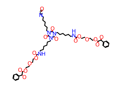 O=C=NCCCCCCn1c(=O)n(CCCCCCNC(=O)OCCOCCOC(=O)C(=O)c2ccccc2)c(=O)n(CCCCCCNC(=O)OCCOCCOC(=O)C(=O)c2ccccc2)c1=O